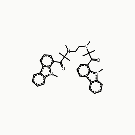 CN(CCN(C)C(C)(C)C(=O)c1cccc2c3ccccc3n(C)c12)C(C)(C)C(=O)c1cccc2c3ccccc3n(C)c12